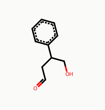 O=CCC(CO)c1ccccc1